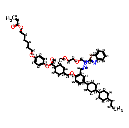 C=CC(=O)OCCCCCCOc1ccc(OC(=O)C2CCC(COc3ccc(C4CCC(C5CCC(CCC)CC5)CC4)cc3/C=N/N(COCCOC)c3nc4ccccc4s3)CC2)cc1